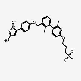 Cc1nc(OCCCS(C)(=O)=O)ccc1-c1cccc(COc2ccc(-c3cc(O)n[s+]3[O-])cc2)c1C